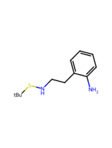 CC(C)(C)SNCCc1ccccc1N